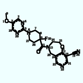 COc1cnc(N2CCC(F)(C(=O)N3CCOc4c(C#N)cncc4C3)CC2)nc1